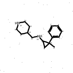 CC1(c2ccccc2)CC1NCC1CCNCC1